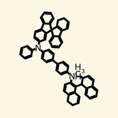 CC1C=Cc2ccccc2C1c1c(Nc2ccc(-c3ccc(N(c4ccccc4)c4ccc5c(c4)C4(C6=C(C=CCC6)c6ccccc64)c4ccccc4-5)cc3)cc2)ccc2c1C=CCC2